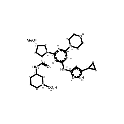 CO[C@H]1C[C@@H](C(=O)NC2CCCN(C(=O)O)C2)N(c2nc(Nc3cc(C4CC4)[nH]n3)nc(N3CCOCC3)n2)C1